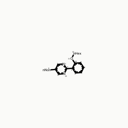 CCCCCCCCCc1cnc(-c2ccccc2OCCCCCC)nc1